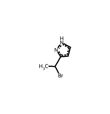 CC(Br)c1cc[nH]n1